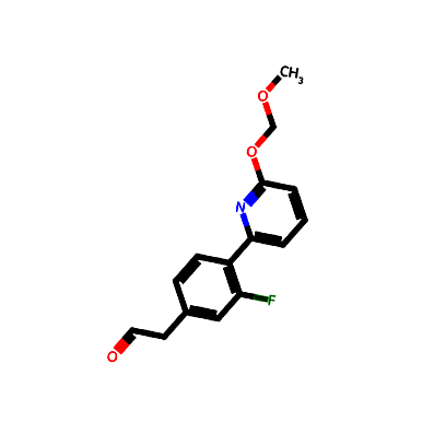 COCOc1cccc(-c2ccc(CC=O)cc2F)n1